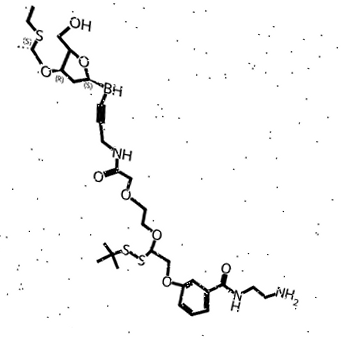 CCS[C@@H](C)O[C@@H]1C[C@H](BC#CCNC(=O)COCCOC(COc2cccc(C(=O)NCCN)c2)SSC(C)(C)C)OC1CO